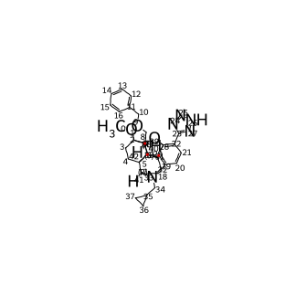 COC12CCC3(C[C@@H]1COCc1ccccc1)[C@H]1Cc4ccc(-c5nn[nH]n5)c5c4[C@@]3(CCN1CC1CC1)[C@H]2O5